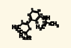 C=C(CC)C/C(=C\C)c1cccc(NC(=C)C)c1